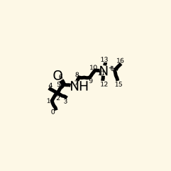 CCC(C)(C)C(=O)NCCC[N+](C)(C)C(C)C